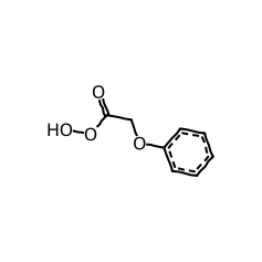 O=C(COc1ccccc1)OO